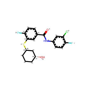 O=C(Nc1ccc(F)c(Cl)c1)c1ccc(F)c(S[C@@H]2CCC[C@@H](O)C2)c1